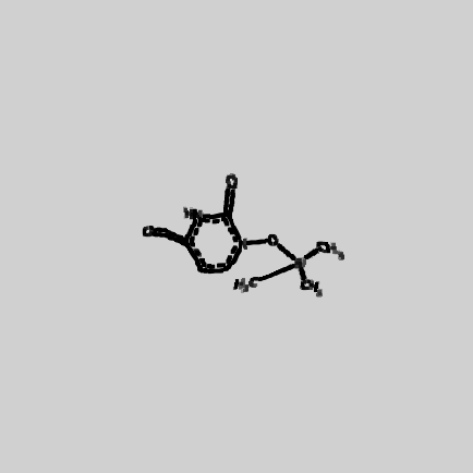 C[Si](C)(C)On1ccc(=O)[nH]c1=O